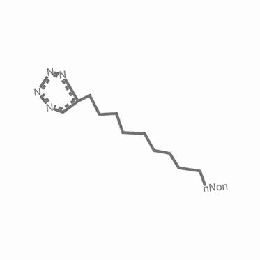 CCCCCCCCCCCCCCCCCCc1cnnnn1